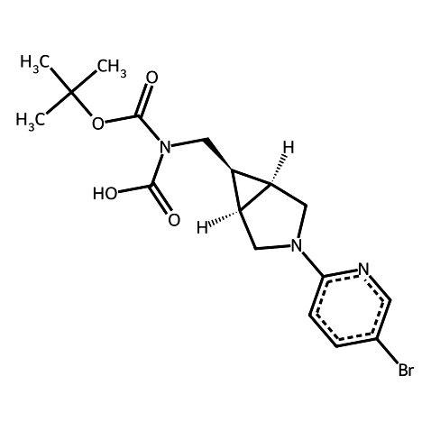 CC(C)(C)OC(=O)N(C[C@H]1[C@H]2CN(c3ccc(Br)cn3)C[C@@H]12)C(=O)O